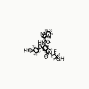 CC(C)(O)[C@H](F)CN1Cc2cc(NC(=O)c3cnn4cccnc34)c(O[C@@H]3CC[C@H](O)C3)cc2C1=O